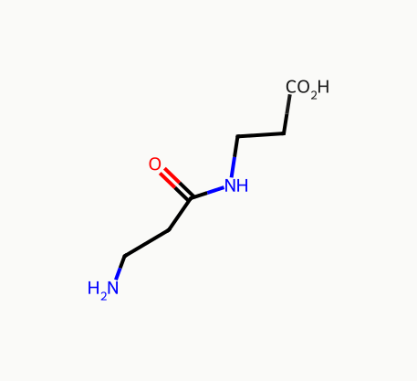 NCCC(=O)NCCC(=O)O